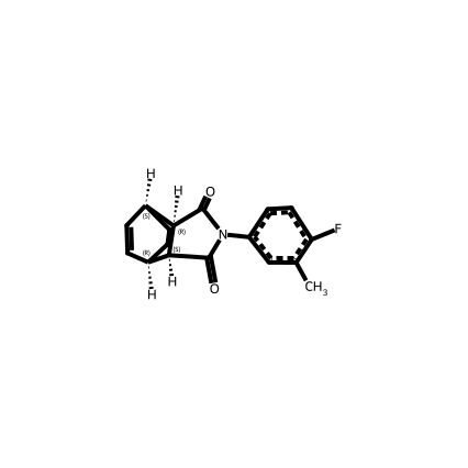 Cc1cc(N2C(=O)[C@@H]3[C@H](C2=O)[C@@H]2C=C[C@H]3CC2)ccc1F